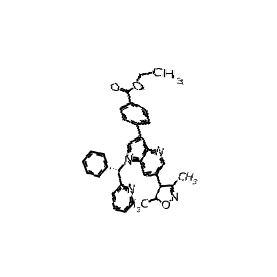 CCOC(=O)c1ccc(-c2cn([C@@H](c3ccccc3)c3ccccn3)c3cc(C4C(C)=NOC4C)cnc23)cc1